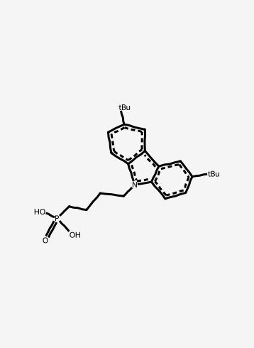 CC(C)(C)c1ccc2c(c1)c1cc(C(C)(C)C)ccc1n2CCCCP(=O)(O)O